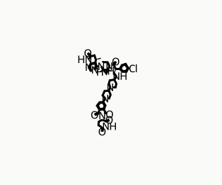 C[C@@H]1CC(=O)Nc2ncnc(N3CCN(C(=O)[C@H](CNC4CCN(C5CCN(c6ccc7c(c6)C(=O)N(C6CCC(=O)NC6=O)C7=O)CC5)CC4)c4ccc(Cl)cc4)[C@@H]4C[C@@H]43)c21